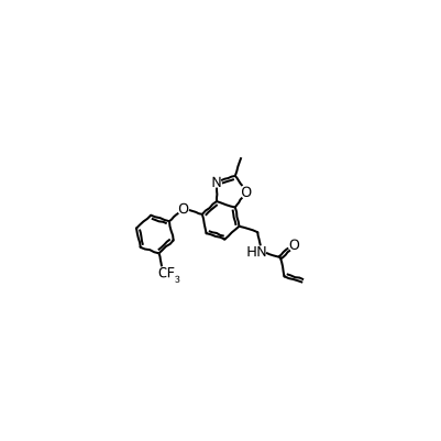 C=CC(=O)NCc1ccc(Oc2cccc(C(F)(F)F)c2)c2nc(C)oc12